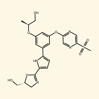 C[C@@H](CO)Oc1cc(Oc2cnc(S(C)(=O)=O)cn2)cc(-c2ccc(C3=NC[C@H](CO)O3)[nH]2)c1